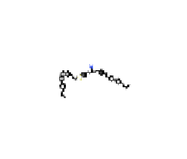 C=C(CC1CCC(c2ccc(CCC(C)CC)cc2)CC1)c1ccc(CCC(C)CSc2ccc(CCC(C#N)CCc3ccc(C(=C)CC4CCC(c5ccc(CCC(C)CC)cc5)CC4)cc3)cc2)cc1